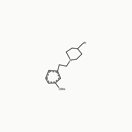 COc1cccc(CCN2CCC(C(C)C)CC2)c1